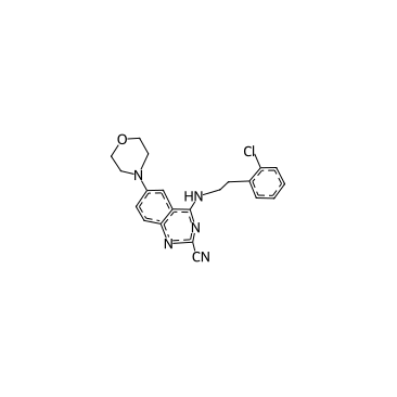 N#Cc1nc(NCCc2ccccc2Cl)c2cc(N3CCOCC3)ccc2n1